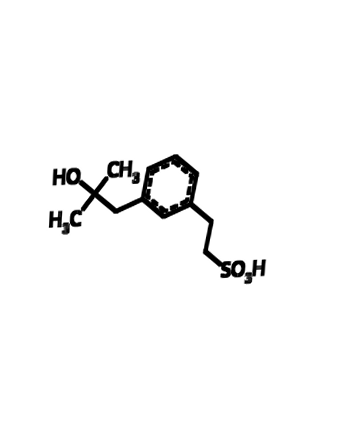 CC(C)(O)Cc1cccc(CCS(=O)(=O)O)c1